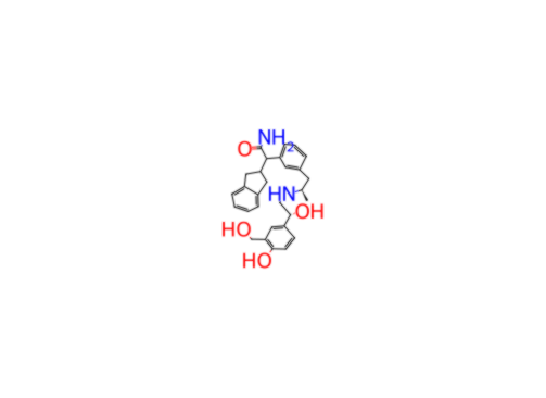 C[C@H](Cc1cccc(C(C(N)=O)C2Cc3ccccc3C2)c1)NC[C@H](O)c1ccc(O)c(CO)c1